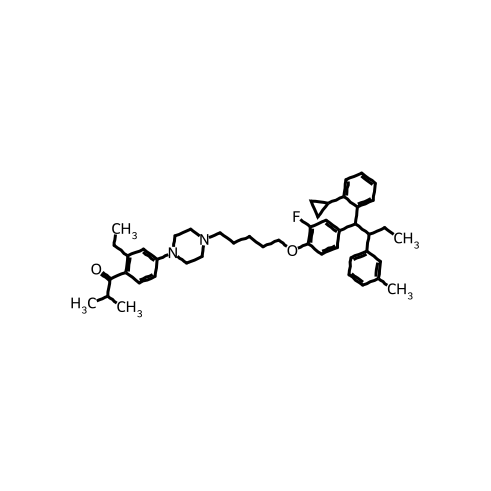 CCc1cc(N2CCN(CCCCCOc3ccc(C(c4ccccc4C4CC4)C(CC)c4cccc(C)c4)cc3F)CC2)ccc1C(=O)C(C)C